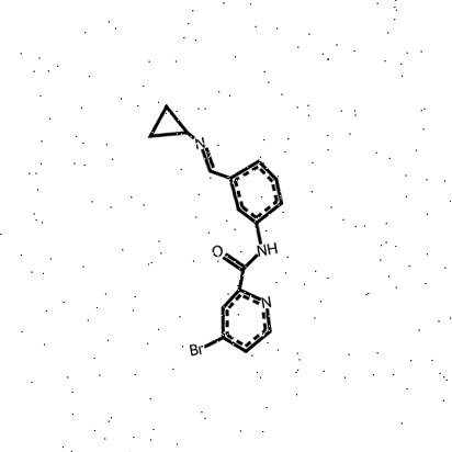 O=C(Nc1cccc(/C=N/C2CC2)c1)c1cc(Br)ccn1